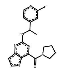 CC(Nc1nc(C(=O)N2CCCC2)c2sccc2n1)c1ccnc(F)c1